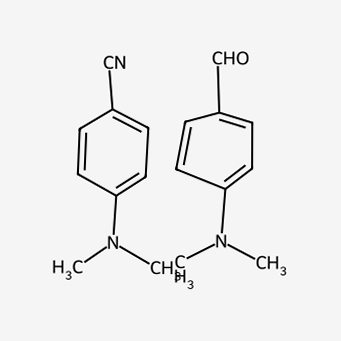 CN(C)c1ccc(C#N)cc1.CN(C)c1ccc(C=O)cc1